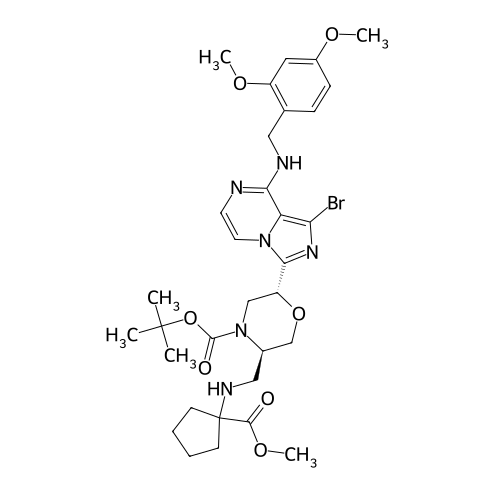 COC(=O)C1(NC[C@@H]2CO[C@@H](c3nc(Br)c4c(NCc5ccc(OC)cc5OC)nccn34)CN2C(=O)OC(C)(C)C)CCCC1